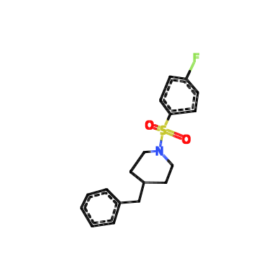 O=S(=O)(c1ccc(F)cc1)N1CCC(Cc2ccccc2)CC1